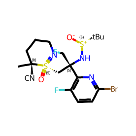 CC(C)(C)[S@@+]([O-])N[C@@](CF)(C[S@@]1(=O)=NCCC[C@]1(C)C#N)c1nc(Br)ccc1F